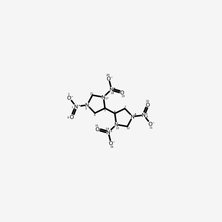 O=[N+]([O-])N1CC(C2CN([N+](=O)[O-])CN2[N+](=O)[O-])N([N+](=O)[O-])C1